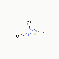 CCCC/N=c1/sc(C)cn1CCCC